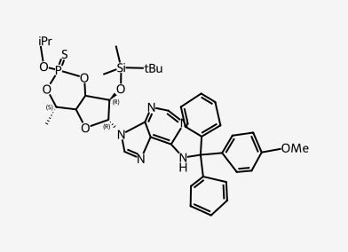 COc1ccc(C(Nc2ncnc3c2ncn3[C@@H]2OC3C(OP(=S)(OC(C)C)O[C@H]3C)[C@H]2O[Si](C)(C)C(C)(C)C)(c2ccccc2)c2ccccc2)cc1